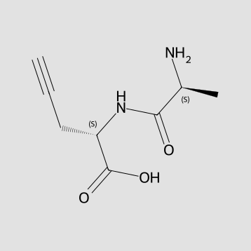 C#CC[C@H](NC(=O)[C@H](C)N)C(=O)O